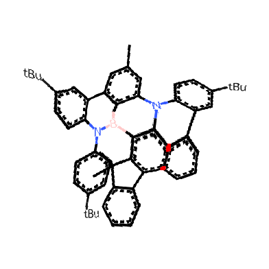 Cc1cc2c3c(c1)N(c1ccc(C(C)(C)C)cc1-c1ccccc1)c1ccc4c(c1B3N(c1ccc(C(C)(C)C)cc1)c1ccc(C(C)(C)C)cc1-2)C(C)(C)c1ccccc1-4